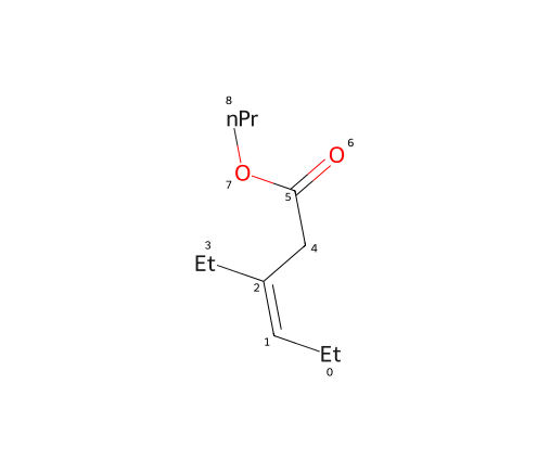 CCC=C(CC)CC(=O)OCCC